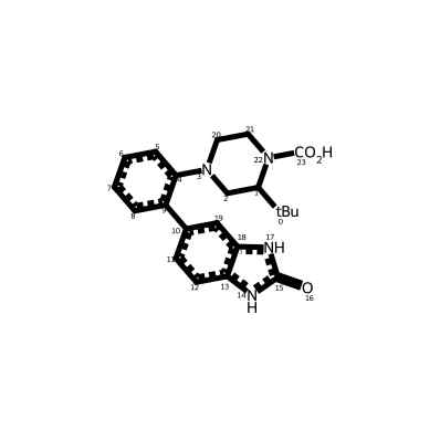 CC(C)(C)C1CN(c2ccccc2-c2ccc3[nH]c(=O)[nH]c3c2)CCN1C(=O)O